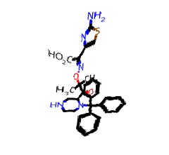 CC(C)(O/N=C(\C(=O)O)c1csc(N)n1)C(=O)C1CNCCN1C(c1ccccc1)(c1ccccc1)c1ccccc1